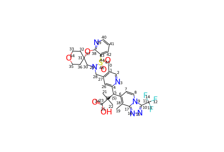 Cc1cnc([C@@H](c2ccn3c(C(F)(F)F)nnc3c2C)C(C)(C)C(=O)O)cc1CN1CC2(CCOCC2)Oc2ncccc2S1(=O)=O